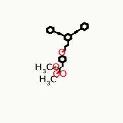 CCOC(=O)[C@H](Cc1ccc(OCC=Cc2cc(C#Cc3ccccc3)cc(C#Cc3ccccc3)c2)cc1)OCC